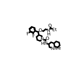 CCC(=O)NCCOC(c1cccc(F)c1F)C1CCCN(C(=O)NC(CNC)CC2CCCCC2)C1